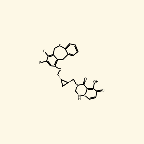 O=C1c2c(O)c(=O)ccn2NCN1C[C@H]1C[C@@H]1COc1cc(F)c(F)c2c1Cc1ccccc1SC2